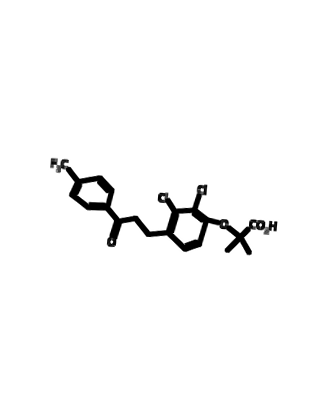 CC(C)(Oc1ccc(CCC(=O)c2ccc(C(F)(F)F)cc2)c(Cl)c1Cl)C(=O)O